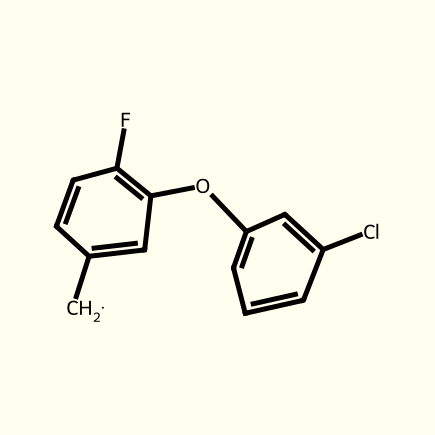 [CH2]c1ccc(F)c(Oc2cccc(Cl)c2)c1